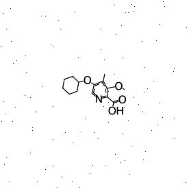 COc1c(C(=O)O)ncc(OC2CCCCC2)c1C